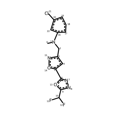 CN(Cc1cc(-c2nnc(C(F)F)o2)on1)c1cccc(Cl)c1